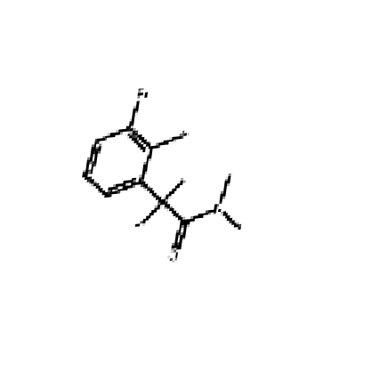 CN(C)C(=O)C(F)(F)c1cccc(Br)c1F